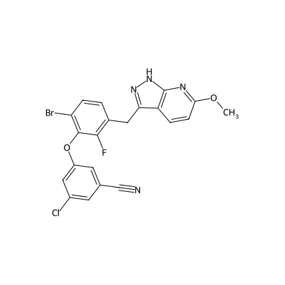 COc1ccc2c(Cc3ccc(Br)c(Oc4cc(Cl)cc(C#N)c4)c3F)n[nH]c2n1